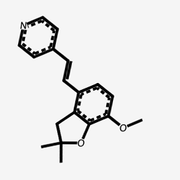 COc1ccc(C=Cc2ccncc2)c2c1OC(C)(C)C2